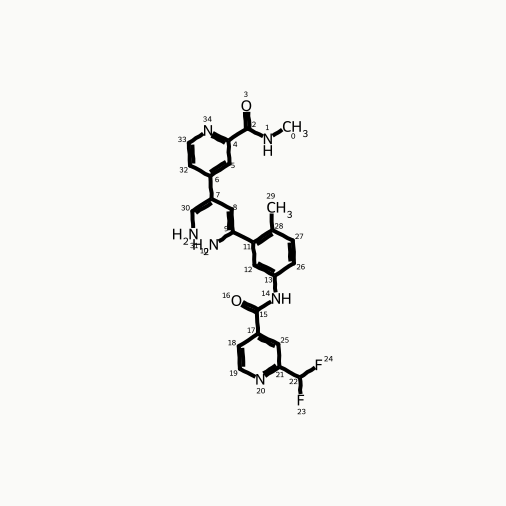 CNC(=O)c1cc(C(/C=C(\N)c2cc(NC(=O)c3ccnc(C(F)F)c3)ccc2C)=C/N)ccn1